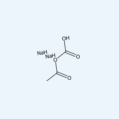 CC(=O)OC(=O)O.[NaH].[NaH]